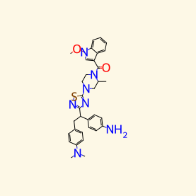 COn1cc(C(=O)N2CCN(c3nc(C(Cc4ccc(N(C)C)cc4)c4ccc(N)cc4)ns3)CC2C)c2ccccc21